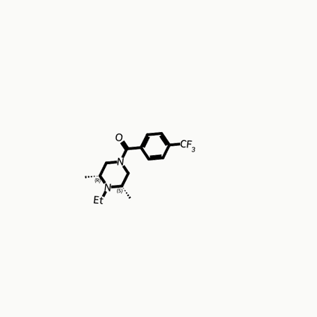 CCN1[C@H](C)CN(C(=O)c2ccc(C(F)(F)F)cc2)C[C@@H]1C